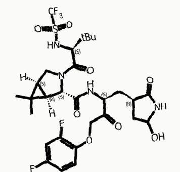 CC(C)(C)[C@H](NS(=O)(=O)C(F)(F)F)C(=O)N1C[C@H]2[C@@H]([C@H]1C(=O)N[C@@H](C[C@@H]1CC(O)NC1=O)C(=O)COc1ccc(F)cc1F)C2(C)C